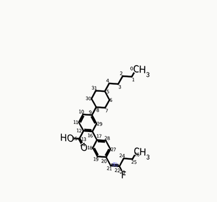 CCCCCC1CCC(c2ccc(C(=O)O)c(-c3ccc(/C=C(/F)CCC)cc3)c2)CC1